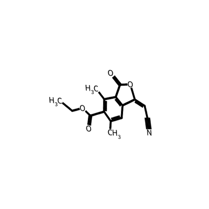 CCOC(=O)c1c(C)cc2c(c1C)C(=O)O/C2=C/C#N